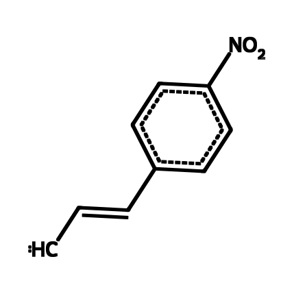 [CH]C=Cc1ccc([N+](=O)[O-])cc1